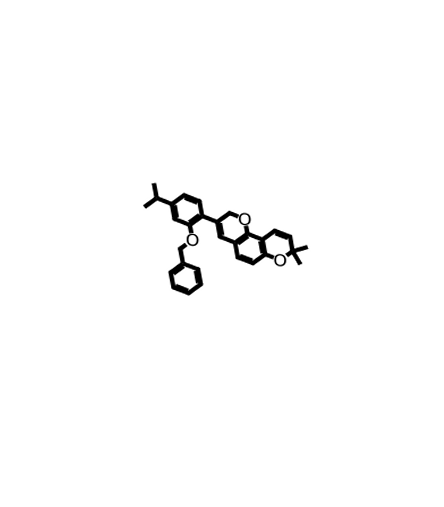 CC(C)c1ccc(C2=Cc3ccc4c(c3OC2)C=CC(C)(C)O4)c(OCc2ccccc2)c1